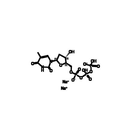 Cc1cn([C@H]2C[C@H](O)[C@@H](COP(=O)([O-])OP(=O)(O)OP(=O)([O-])O)O2)c(=O)[nH]c1=O.[Na+].[Na+]